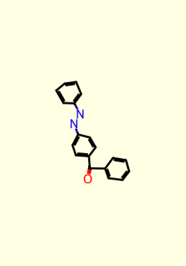 O=C(c1ccccc1)c1ccc(N=Nc2ccccc2)cc1